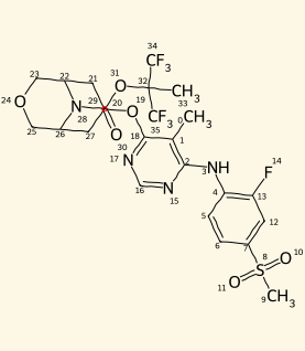 Cc1c(Nc2ccc(S(C)(=O)=O)cc2F)ncnc1OC1CC2COCC(C1)N2C(=O)OC(C)(C(F)(F)F)C(F)(F)F